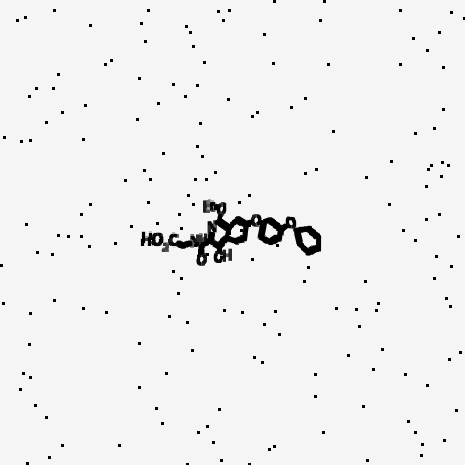 CCOc1nc(C(=O)NCC(=O)O)c(O)c2ccc(Oc3cccc(Oc4ccccc4)c3)cc12